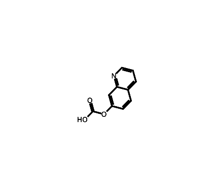 O=C(O)Oc1ccc2cccnc2c1